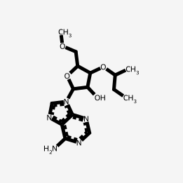 CCC(C)OC1C(COC)OC(n2cnc3c(N)ncnc32)C1O